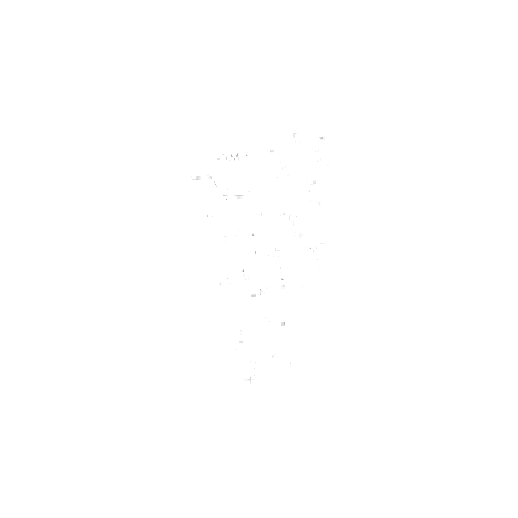 COC(=O)c1ccc(C2C(=S)N(c3ccc(F)c(C)c3)c3cccc(OCc4ccccc4)c32)cc1